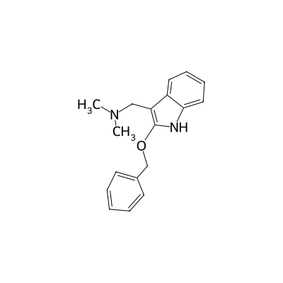 CN(C)Cc1c(OCc2ccccc2)[nH]c2ccccc12